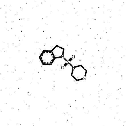 O=S(=O)(N1CCSCC1)N1CCc2ccccc21